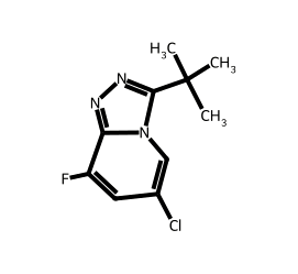 CC(C)(C)c1nnc2c(F)cc(Cl)cn12